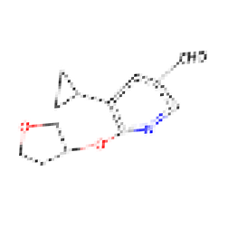 O=Cc1cnc(OC2CCOC2)c(C2CC2)c1